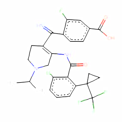 CC(C)N1CCC(C(=N)c2ccc(C(=O)O)cc2F)=C(NC(=O)c2c(Cl)cccc2C2(C(F)(F)F)CC2)C1